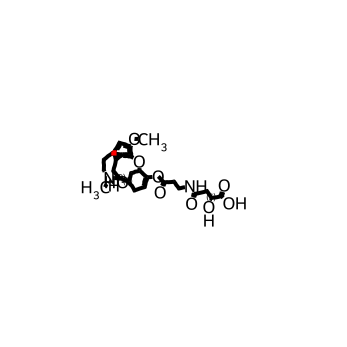 COc1ccc2c3c1OC1C[C@@](O)(CC=C1OC(=O)CCNC(=O)C[C@H](O)C(=O)O)[C@@H](C2)N(C)CCC3